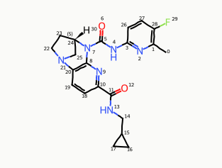 Cc1nc(NC(=O)N2c3nc(C(=O)NCC4CC4)ccc3N3CC[C@H]2C3)ccc1F